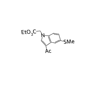 CCOC(=O)Cn1cc(C(C)=O)c2cc(SC)ccc21